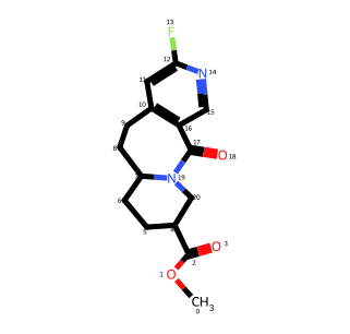 COC(=O)C1CCC2CCc3cc(F)ncc3C(=O)N2C1